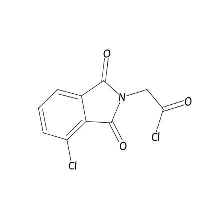 O=C(Cl)CN1C(=O)c2cccc(Cl)c2C1=O